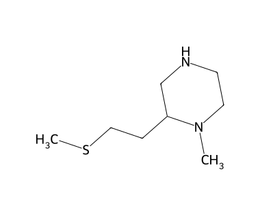 CSCCC1CNCCN1C